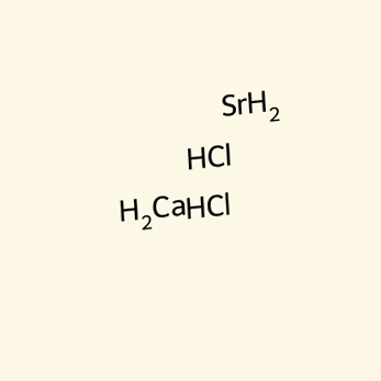 Cl.Cl.[CaH2].[SrH2]